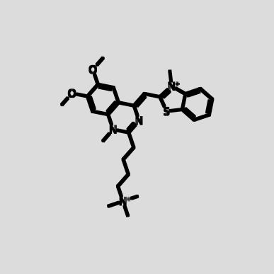 COc1cc2c(cc1OC)N(C)C(CCCC[N+](C)(C)C)=N/C2=C\c1sc2ccccc2[n+]1C